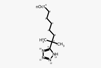 CCCCCCCCCCCCCC(C)(C)c1nnn[nH]1